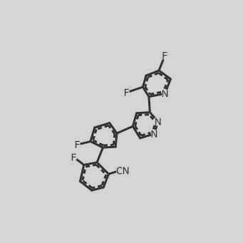 N#Cc1cccc(F)c1-c1cc(-c2cnnc(-c3ncc(F)cc3F)c2)ccc1F